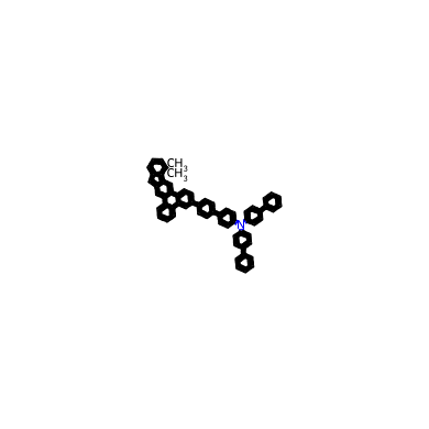 CC1(C)C=CC=C2C=c3cc4c5ccccc5c5cc(-c6ccc(-c7ccc(N(c8ccc(-c9ccccc9)cc8)c8ccc(-c9ccccc9)cc8)cc7)cc6)ccc5c4cc3=C21